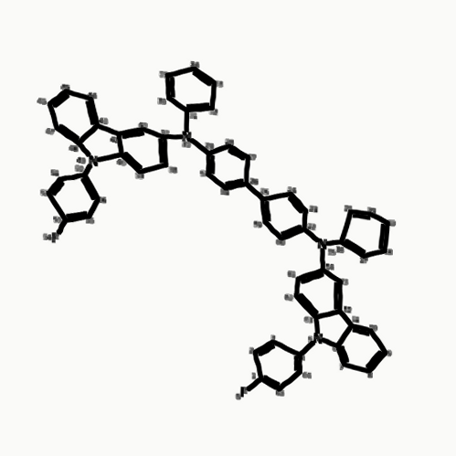 Fc1ccc(-n2c3ccccc3c3cc(N(c4ccccc4)c4ccc(-c5ccc(N(c6ccccc6)c6ccc7c(c6)c6ccccc6n7-c6ccc(F)cc6)cc5)cc4)ccc32)cc1